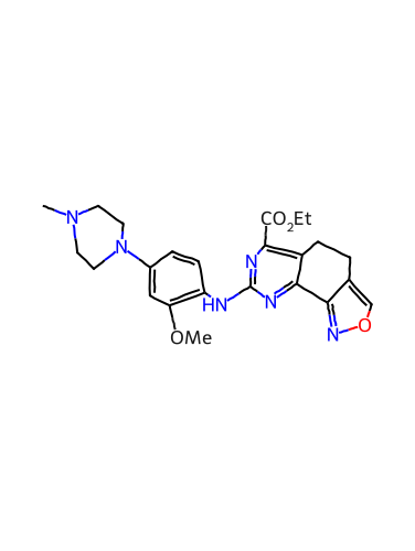 CCOC(=O)c1nc(Nc2ccc(N3CCN(C)CC3)cc2OC)nc2c1CCc1conc1-2